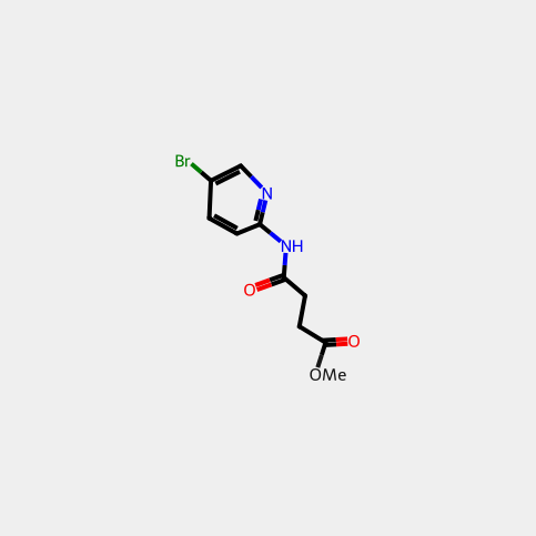 COC(=O)CCC(=O)Nc1ccc(Br)cn1